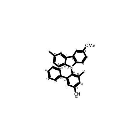 COc1ccc2c(c1)c1cc(C)ccc1n2-c1c(C)cc(C#N)cc1-c1ccccc1